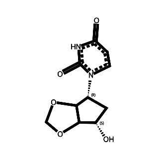 O=c1ccn([C@@H]2C[C@H](O)C3OCOC32)c(=O)[nH]1